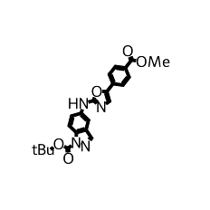 COC(=O)c1ccc(-c2cnc(Nc3ccc4c(cnn4C(=O)OC(C)(C)C)c3)o2)cc1